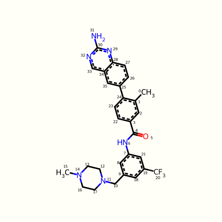 Cc1cc(C(=O)Nc2cc(CN3CCN(C)CC3)cc(C(F)(F)F)c2)ccc1-c1ccc2nc(N)ncc2c1